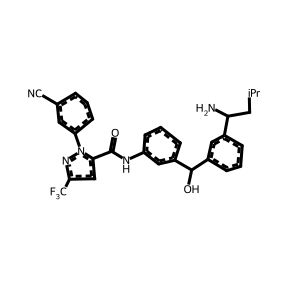 CC(C)CC(N)c1cccc(C(O)c2cccc(NC(=O)c3cc(C(F)(F)F)nn3-c3cccc(C#N)c3)c2)c1